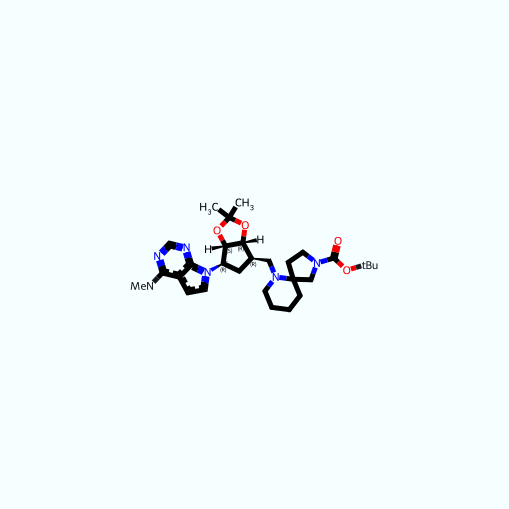 CNc1ncnc2c1ccn2[C@@H]1C[C@H](CN2CCCCC23CCN(C(=O)OC(C)(C)C)C3)[C@H]2OC(C)(C)O[C@H]21